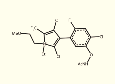 CC[N+]1(CCOC)C(Cl)=C(c2cc(ONC(C)=O)c(Cl)cc2F)C(Cl)=C1C(F)(F)F